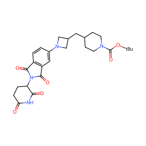 CC(C)(C)OC(=O)N1CCC(CC2CN(c3ccc4c(c3)C(=O)N(C3CCC(=O)NC3=O)C4=O)C2)CC1